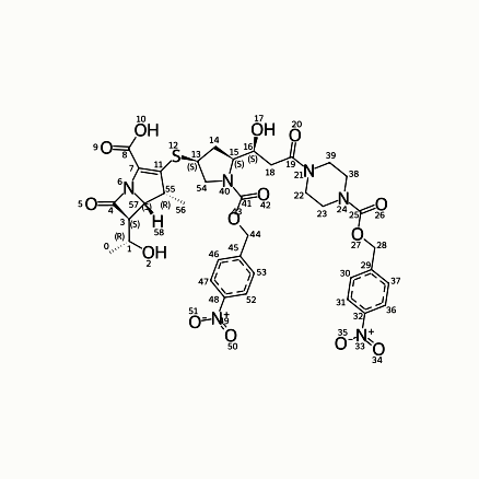 C[C@@H](O)[C@H]1C(=O)N2C(C(=O)O)=C(S[C@H]3C[C@@H]([C@@H](O)CC(=O)N4CCN(C(=O)OCc5ccc([N+](=O)[O-])cc5)CC4)N(C(=O)OCc4ccc([N+](=O)[O-])cc4)C3)[C@H](C)[C@H]12